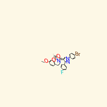 CCOc1ccc(CCN2C(=O)[C@H](C)O[C@H]2c2cn(-c3ccc(Br)cc3)nc2-c2ccc(F)cc2)cc1